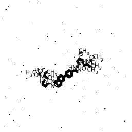 COC[C@H]1C[C@@H](c2ncc(-c3ccc(-c4ccc5c(ccc6nc([C@@H]7CCCN7C(=O)[C@@H](NC(=O)OC)C(C)C)[nH]c65)c4)cc3)[nH]2)N(C(=O)[C@@H](NC(=O)OC)C(C)C)C1